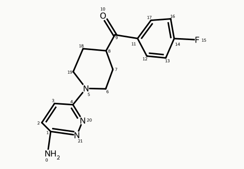 Nc1ccc(N2CCC(C(=O)c3ccc(F)cc3)CC2)nn1